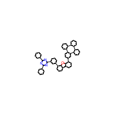 c1ccc(-c2nc(-c3ccccc3)nc(-c3cccc(-c4cccc5c4oc4c(-c6ccc7c(c6)-c6ccccc6-c6ccccc6-c6ccccc6-7)cccc45)c3)n2)cc1